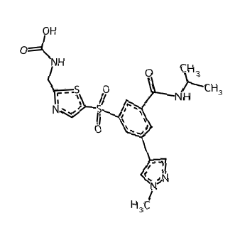 CC(C)NC(=O)c1cc(-c2cnn(C)c2)cc(S(=O)(=O)c2cnc(CNC(=O)O)s2)c1